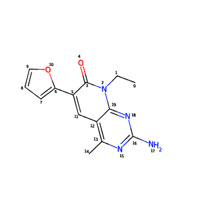 CCn1c(=O)c(-c2ccco2)cc2c(C)nc(N)nc21